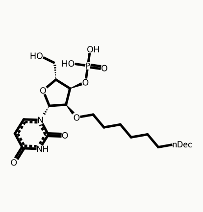 CCCCCCCCCCCCCCCCO[C@@H]1[C@H](OP(=O)(O)O)[C@@H](CO)O[C@H]1n1ccc(=O)[nH]c1=O